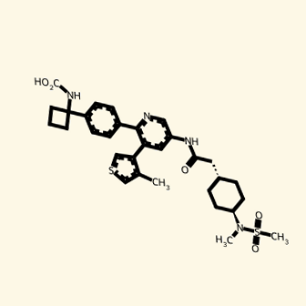 Cc1cscc1-c1cc(NC(=O)C[C@H]2CC[C@H](N(C)S(C)(=O)=O)CC2)cnc1-c1ccc(C2(NC(=O)O)CCC2)cc1